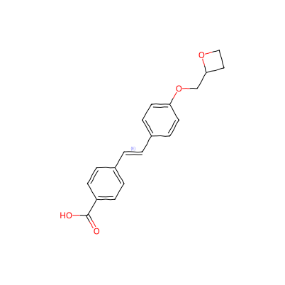 O=C(O)c1ccc(/C=C/c2ccc(OCC3CCO3)cc2)cc1